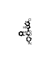 CC(=O)N1CCN(C(=O)[C@H](Cc2ccccc2)NC(=O)c2cc3cc(Cl)ncc3[nH]2)CC1